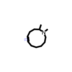 CC1CC/C=C\CCCCCN1C